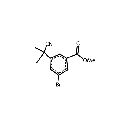 COC(=O)c1cc(Br)cc(C(C)(C)C#N)c1